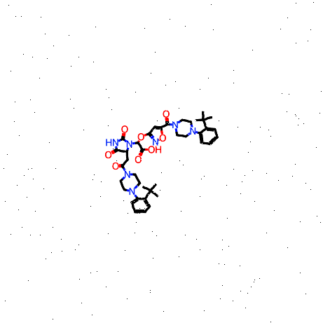 CC(C)(C)c1ccccc1N1CCN(C(=O)CC2C(=O)NC(=O)N2C(Oc2cc(C(=O)N3CCN(c4ccccc4C(C)(C)C)CC3)on2)C(=O)O)CC1